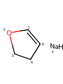 C1=COCC1.[NaH]